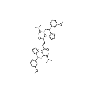 COc1cccc(C(CC(OC(=O)/C=C/C(=O)OC(CC(c2cccc(OC)c2)c2cccs2)N(C)C(C)C)N(C)C(C)C)c2cccs2)c1